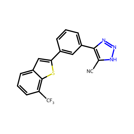 N#Cc1[nH]nnc1-c1cccc(-c2cc3cccc(C(F)(F)F)c3s2)c1